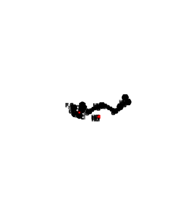 CN(CCN1CCC(OC(=O)Nc2ccccc2-c2ccccc2)CC1)C(=O)CCCCCNCc1ccc(NC(=O)OCCCCN(C)C(=O)CO[C@H]2Cc3ccccc3C23CCN(CC[C@@]2(c4ccc(Cl)c(Cl)c4)CN(C(=O)c4cc(C(F)(F)F)cc(C(F)(F)F)c4)CCO2)CC3)cc1.Cl.Cl.Cl